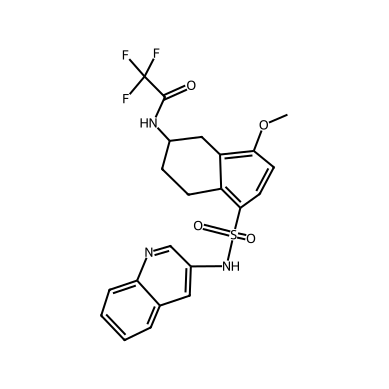 COc1ccc(S(=O)(=O)Nc2cnc3ccccc3c2)c2c1CC(NC(=O)C(F)(F)F)CC2